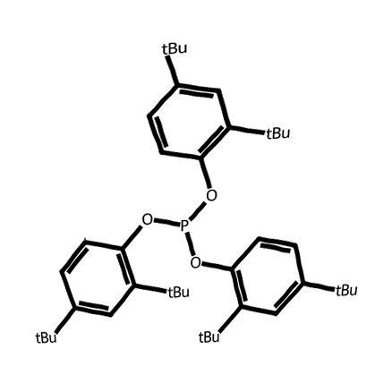 CC(C)(C)c1c[c]c(OP(Oc2ccc(C(C)(C)C)cc2C(C)(C)C)Oc2ccc(C(C)(C)C)cc2C(C)(C)C)c(C(C)(C)C)c1